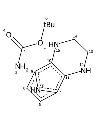 CC(C)(C)OC(N)=O.c1cc2[nH]c1c1c2NCCN1